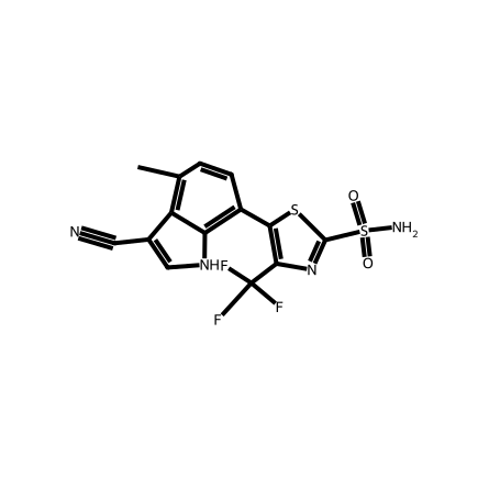 Cc1ccc(-c2sc(S(N)(=O)=O)nc2C(F)(F)F)c2[nH]cc(C#N)c12